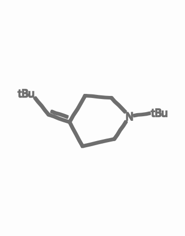 CC(C)(C)C=C1CCN(C(C)(C)C)CC1